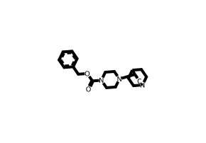 O=C(OCc1ccccc1)N1CCN(C2CN3CCC2CC3)CC1